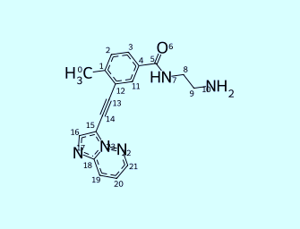 Cc1ccc(C(=O)NCCN)cc1C#Cc1cnc2cccnn12